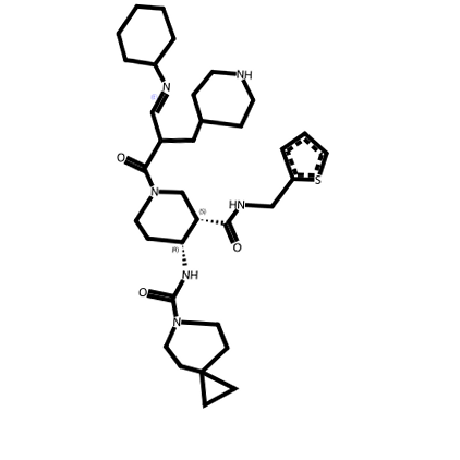 O=C(NCc1cccs1)[C@H]1CN(C(=O)C(/C=N/C2CCCCC2)CC2CCNCC2)CC[C@H]1NC(=O)N1CCC2(CC1)CC2